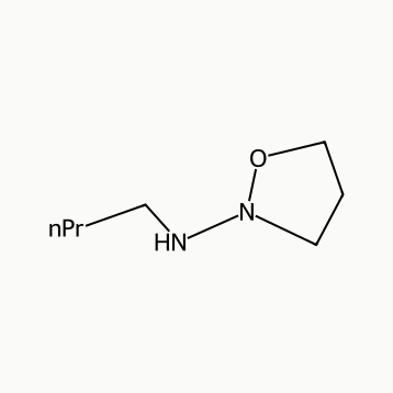 CCCCNN1CCCO1